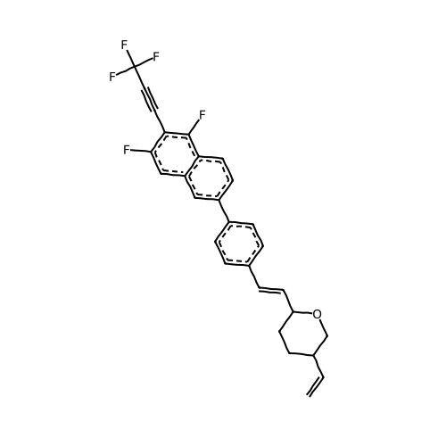 C=CC1CCC(/C=C/c2ccc(-c3ccc4c(F)c(C#CC(F)(F)F)c(F)cc4c3)cc2)OC1